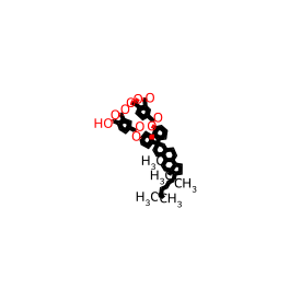 CC(C)CCCC(C)C1CCC2C3CCC4CC(c5ccc(OC(=O)c6ccc7c(c6)C(=O)OC7O)cc5)(c5cccc(OC(=O)c6ccc7c(c6)C(=O)OC7=O)c5)CCC4(C)C3CCC12C